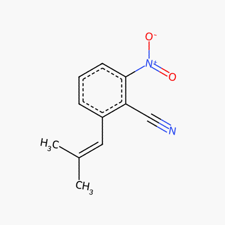 CC(C)=Cc1cccc([N+](=O)[O-])c1C#N